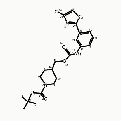 CC(C)(C)OC(=O)N1CCC(COC(=O)Nc2cccc(-c3nc(Cl)cs3)c2)CC1